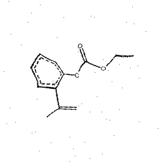 C=C(C)c1ccccc1OC(=O)OCC